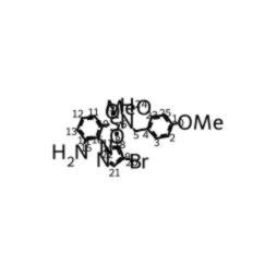 COc1ccc(CNS(=O)(=O)c2cccc(N)c2-n2cc(Br)cn2)c(OC)c1